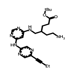 CCC#Cc1cnc(Nc2cc(NCC(CCN)CCC(=O)OC(C)(C)C)ncn2)cn1